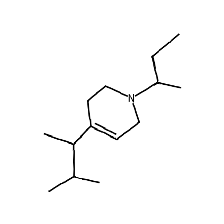 CCC(C)N1CC=C(C(C)C(C)C)CC1